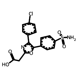 NS(=O)(=O)c1ccc(-c2oc(CC(=O)O)nc2-c2ccc(Cl)cc2)cc1